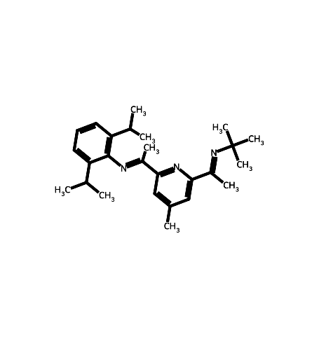 CC(=Nc1c(C(C)C)cccc1C(C)C)c1cc(C)cc(C(C)=NC(C)(C)C)n1